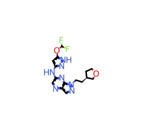 FC(F)Oc1cc(Nc2cnc3cnn(CC[C@H]4CCOC4)c3n2)n[nH]1